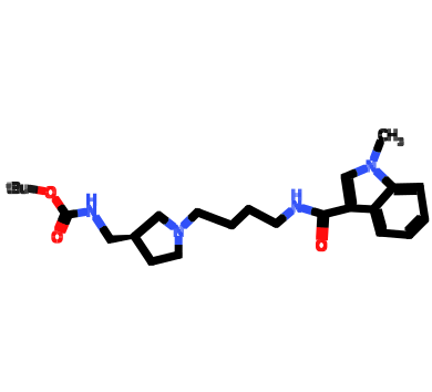 Cn1cc(C(=O)NCCCCN2CC[C@@H](CNC(=O)OC(C)(C)C)C2)c2ccccc21